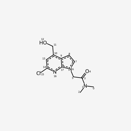 CN(C)C(=O)Cn1ccc2c(CO)cc(Cl)nc21